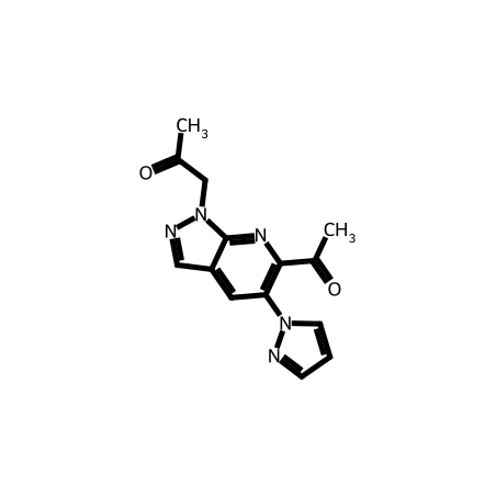 CC(=O)Cn1ncc2cc(-n3cccn3)c(C(C)=O)nc21